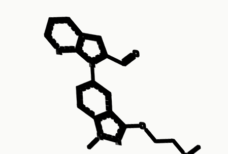 Cn1nc(OCC[Si](C)(C)C)c2cc(-n3c(C=O)cc4cccnc43)ccc21